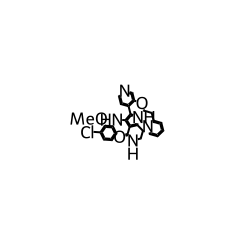 COc1c(Cl)cccc1Nc1c(-c2ccncc2OCCc2ccccn2)[nH]c2c1C(=O)NCC2